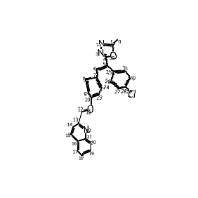 Cc1nnc(/C(=C/c2ccc(OCc3ccc4ccccc4n3)cc2)c2ccc(Cl)cc2)o1